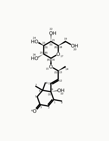 CC1=CC(=O)CC(C)(C)[C@@]1(O)C=C[C@H](C)O[C@@H]1O[C@H](CO)[C@@H](O)[C@H](O)[C@H]1O